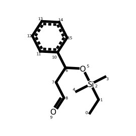 CC[Si](C)(C)OC(CC=O)c1ccccc1